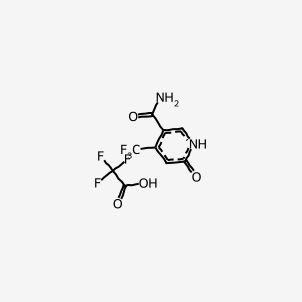 NC(=O)c1c[nH]c(=O)cc1C(F)(F)F.O=C(O)C(F)(F)F